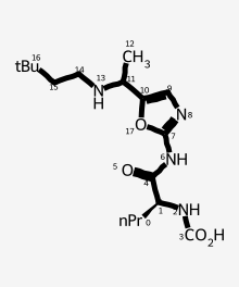 CCC[C@H](NC(=O)O)C(=O)Nc1ncc(C(C)NCCC(C)(C)C)o1